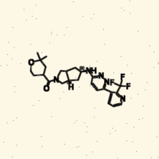 CC1(C)CC(C(=O)N2CC3C[C@@H](Nc4ccc(-c5cccnc5C(F)(F)F)nn4)C[C@@H]3C2)CCO1